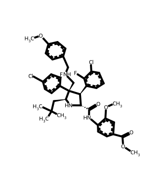 COC(=O)c1ccc(NC(=O)[C@@H]2N[C@@H](CC(C)(C)C)[C@](CNCc3ccc(OC)cc3)(c3ccc(Cl)cc3F)[C@H]2c2cccc(Cl)c2F)c(OC)c1